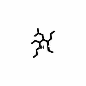 CC=C=C(CCC)C(CC(C)C)C(CC)NCCC